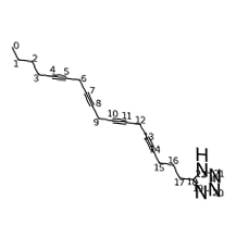 CCCCC#CCC#CCC#CCC#CCCCc1nnn[nH]1